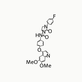 COc1cc2nccc(Oc3ccc(NC(=O)N4CCN(c5ccc(F)cc5)C4=O)cc3)c2cc1OC